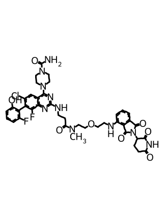 CN(CCOCCNc1cccc2c1C(=O)N(C1CCC(=O)NC1=O)C2=O)C(=O)CCNc1nc(N2CCN(C(N)=O)CC2)c2cc(Cl)c(-c3c(O)cccc3F)c(F)c2n1